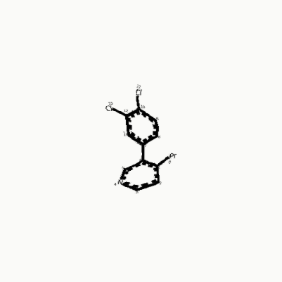 CC(C)c1ccncc1-c1ccc(Cl)c(Cl)c1